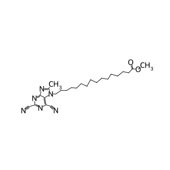 COC(=O)CCCCCCCCCCCCCCCn1c(C)nc2nc(C#N)nc(C#N)c21